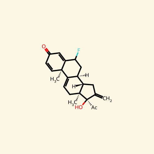 C=C1C[C@H]2[C@@H]3CC(F)C4=CC(=O)C=C[C@]4(C)C3=CC[C@]2(C)[C@@]1(O)C(C)=O